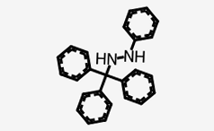 c1ccc(NNC(c2ccccc2)(c2ccccc2)c2ccccc2)cc1